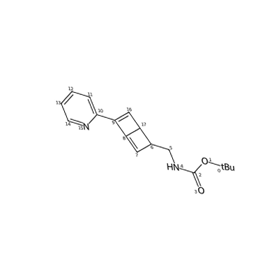 CC(C)(C)OC(=O)NCC1C=C2C(c3ccccn3)=CC21